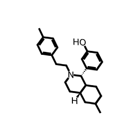 Cc1ccc(CCN2CC[C@H]3CC(C)CCC3[C@H]2c2cccc(O)c2)cc1